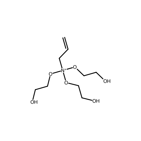 C=CC[N+](OCCO)(OCCO)OCCO